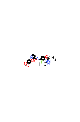 Cc1nnc(C(C)Oc2ccc(CNC(=O)c3cccnc3Oc3ccc4c(c3)OCO4)c(F)c2)[nH]1